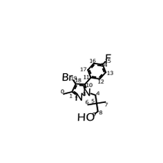 Cc1nn(CC(C)(C)CO)c(-c2ccc(F)cc2)c1Br